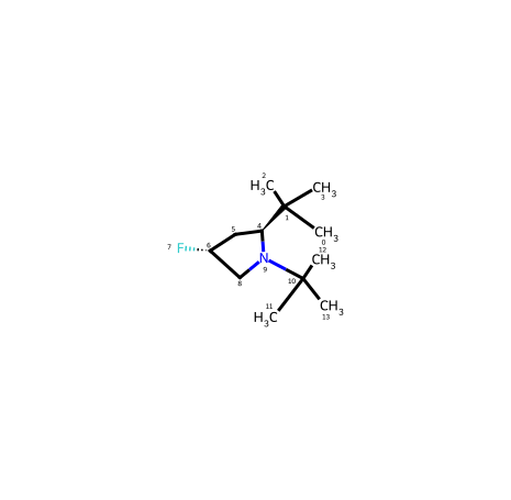 CC(C)(C)[C@@H]1C[C@@H](F)CN1C(C)(C)C